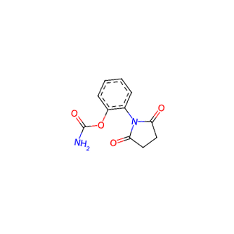 NC(=O)Oc1ccccc1N1C(=O)CCC1=O